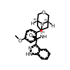 COc1ccc(CN2[C@@H]3COC[C@H]2C[C@@H](NC(=O)c2n[nH]c4ccccc24)C3)cc1